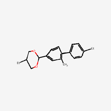 CCc1ccc(-c2ccc(C3OCC(CC)CO3)cc2C)cc1